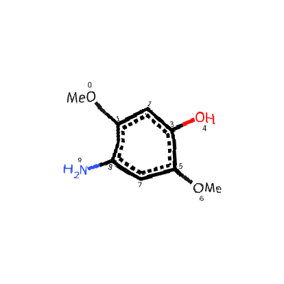 COc1cc(O)c(OC)cc1N